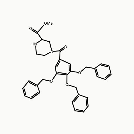 COC(=O)C1CN(C(=O)c2cc(OCc3ccccc3)c(OCc3ccccc3)c(OCc3ccccc3)c2)CCN1